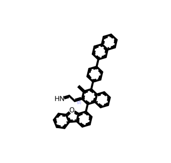 C=c1c(-c2ccc(-c3ccc4ccccc4c3)cc2)c2ccccc2c(-c2cccc3c2oc2ccccc23)/c1=C/C=N